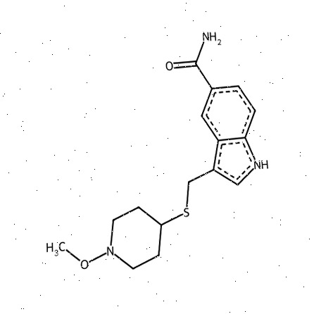 CON1CCC(SCc2c[nH]c3ccc(C(N)=O)cc23)CC1